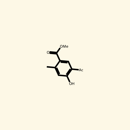 COC(=O)c1cc(C(C)=O)c(O)cc1C